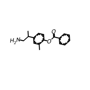 Cc1cc(C(C)CN)ccc1OC(=O)c1ccccc1